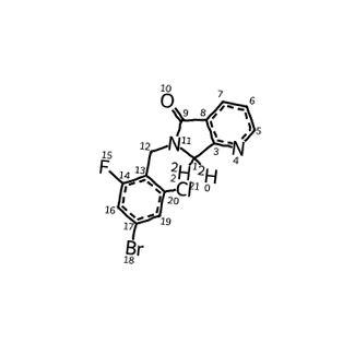 [2H]C1([2H])c2ncccc2C(=O)N1Cc1c(F)cc(Br)cc1Cl